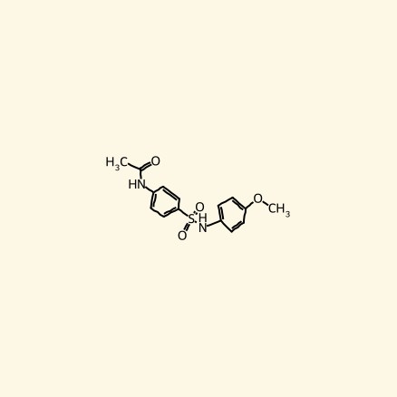 COc1ccc(NS(=O)(=O)c2ccc(NC(C)=O)cc2)cc1